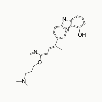 C=N/C(=C\C=C(/C)c1ccc2nc3cccc(O)c3n2c1)OCCCN(C)C